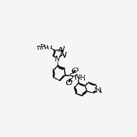 CCCCc1cn(-c2cccc(S(=O)(=O)Nc3cccc4cnccc34)c2)nn1